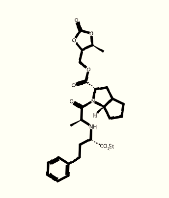 CCOC(=O)[C@H](CCc1ccccc1)N[C@@H](C)C(=O)N1[C@H](C(=O)OCC2OC(=O)O[C@H]2C)CC2CCC[C@@H]21